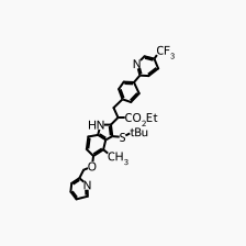 CCOC(=O)C(Cc1ccc(-c2ccc(C(F)(F)F)cn2)cc1)c1[nH]c2ccc(OCc3ccccn3)c(C)c2c1SC(C)(C)C